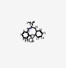 CN(C)/C1=C/c2ccccc2OC2C=CC=CC2C1.Cl